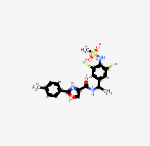 CC(NC(=O)c1coc(-c2ccc(C(F)(F)F)cc2)n1)c1cc(F)c(NS(C)(=O)=O)c(F)c1